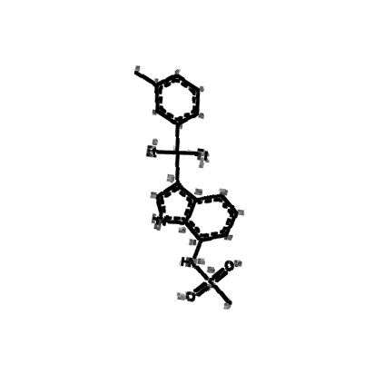 CCC(CC)(c1cccc(C)c1)c1c[nH]c2c(NS(C)(=O)=O)cccc12